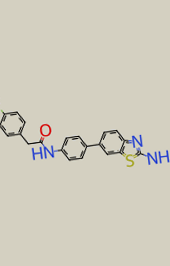 Nc1nc2ccc(-c3ccc(NC(=O)Cc4ccc(F)cc4)cc3)cc2s1